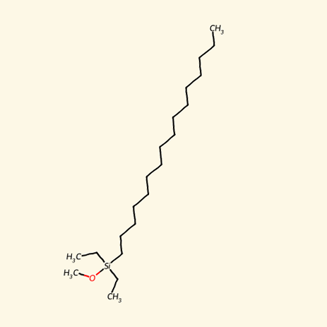 CCCCCCCCCCCCCCCC[Si](CC)(CC)OC